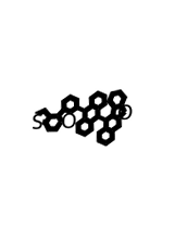 c1ccc2c(-c3c4ccccc4c(-c4cccc5c4oc4ccc6sccc6c45)c4ccccc34)c3c(cc2c1)oc1ccccc13